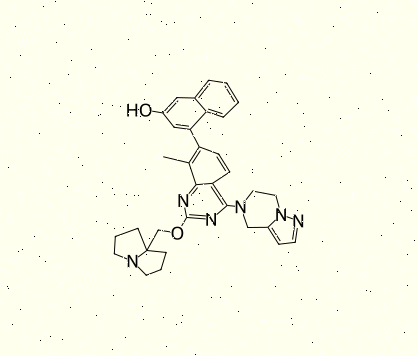 Cc1c(-c2cc(O)cc3ccccc23)ccc2c(N3CCn4nccc4C3)nc(OCC34CCCN3CCC4)nc12